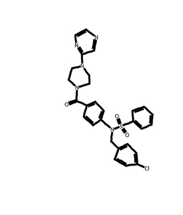 O=C(c1ccc(N(Cc2ccc(Cl)cc2)S(=O)(=O)c2ccccc2)cc1)N1CCN(c2cnccn2)CC1